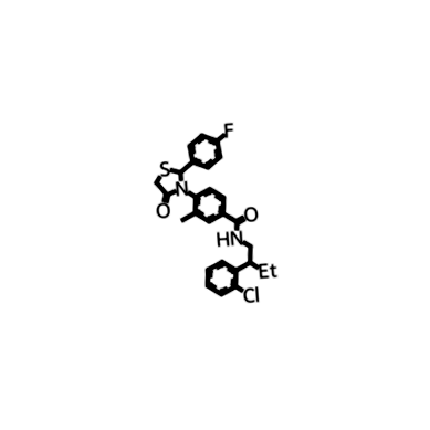 CCC(CNC(=O)c1ccc(N2C(=O)CSC2c2ccc(F)cc2)c(C)c1)c1ccccc1Cl